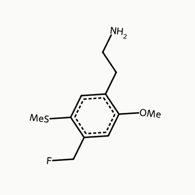 COc1cc(CF)c(SC)cc1CCN